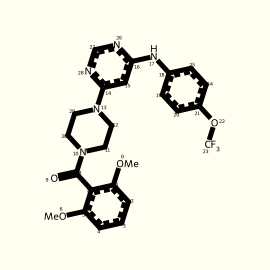 COc1cccc(OC)c1C(=O)N1CCN(c2cc(Nc3ccc(OC(F)(F)F)cc3)ncn2)CC1